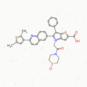 Cc1cc(-c2ccc3cc(-c4c(-c5ccccc5)c5sc(C(=O)O)cc5n4CC(=O)N4CC[S+]([O-])CC4)ccc3n2)c(C)s1